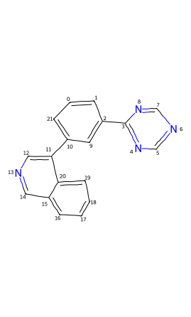 c1cc(-c2ncncn2)cc(-c2cncc3ccccc23)c1